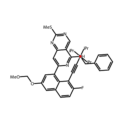 COCOc1cc(-c2cc3nc(SC)ncc3c(NCc3ccccc3)n2)c2c(C#C[Si](C(C)C)(C(C)C)C(C)C)c(F)ccc2c1